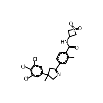 Cc1cc(C2=NCC(C)(c3cc(Cl)c(Cl)c(Cl)c3)C2)ccc1C(=O)NC1CS(=O)(=O)C1